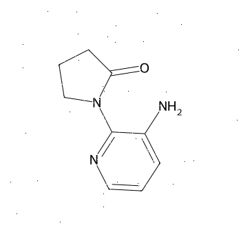 Nc1cccnc1N1CCCC1=O